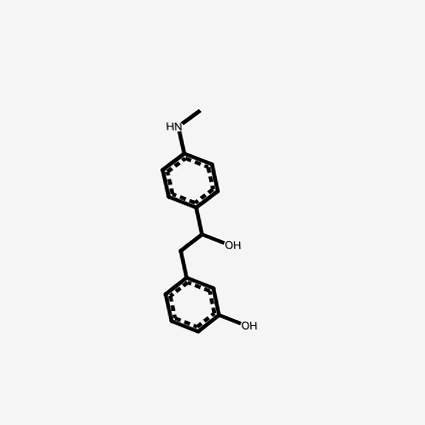 CNc1ccc(C(O)Cc2cccc(O)c2)cc1